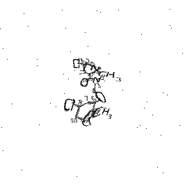 CCN(CCOc1cc(Cl)cc(Cl)c1C)C(=O)c1cncc(Cl)c1